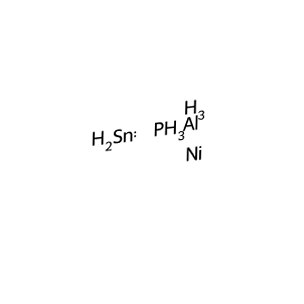 P.[AlH3].[Ni].[SnH2]